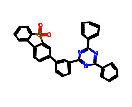 O=S1(=O)c2ccccc2-c2ccc(-c3cccc(-c4nc(-c5ccccc5)nc(-c5ccccc5)n4)c3)cc21